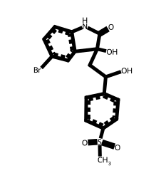 CS(=O)(=O)c1ccc(C(O)CC2(O)C(=O)Nc3ccc(Br)cc32)cc1